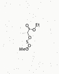 CCOC(=O)[C@@H](C)OSOOC